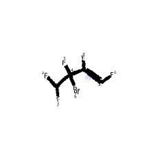 F/C=C(\F)C(F)(Br)C(F)F